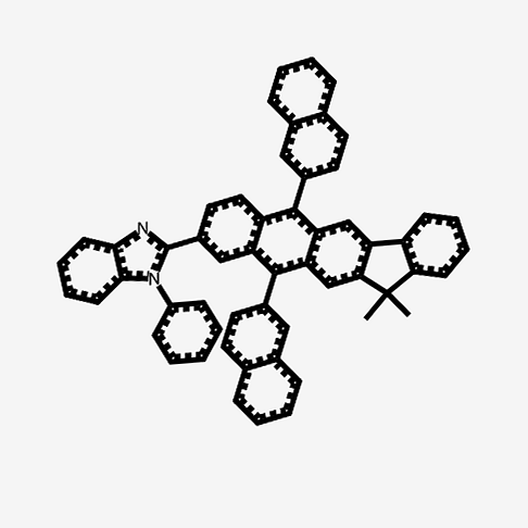 CC1(C)c2ccccc2-c2cc3c(-c4ccc5ccccc5c4)c4ccc(-c5nc6ccccc6n5-c5ccccc5)cc4c(-c4ccc5ccccc5c4)c3cc21